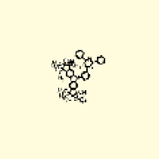 CC1(C)c2cc3c4cc5c(cc4n(-c4cccc(-c6nc(-c7ccccc7)nc(-c7ccccc7)n6)c4)c3cc2C(C)(C)C1(C)C)C(C)(C)C(C)(C)C5(C)C